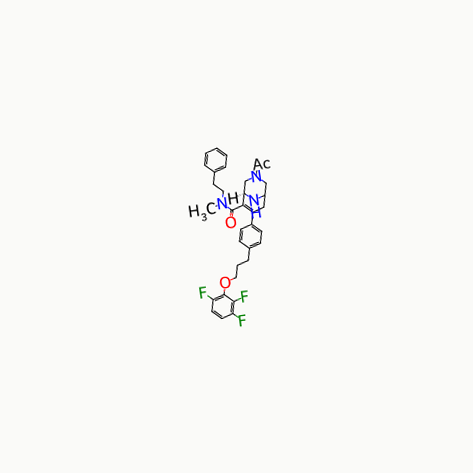 CC(=O)N1CC2CC(c3ccc(CCCOc4c(F)ccc(F)c4F)cc3)=C(C(=O)N(C)CCc3ccccc3)[C@@H](C1)N2